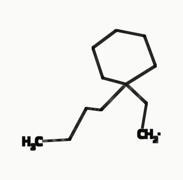 [CH2]CC1(CCCC)CCCCC1